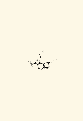 CSc1ncc2c(n1)-c1c(c(C(N)=O)nn1CCO)CC2